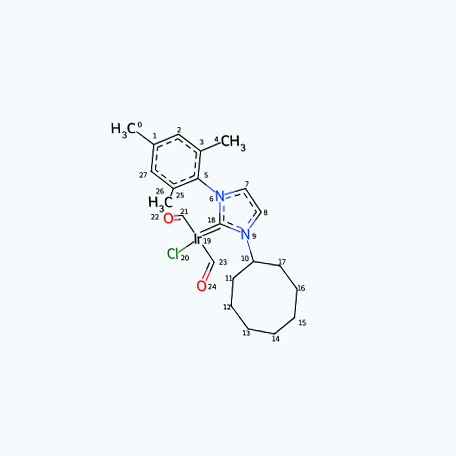 Cc1cc(C)c(-n2ccn(C3CCCCCCC3)[c]2=[Ir]([Cl])([CH]=O)[CH]=O)c(C)c1